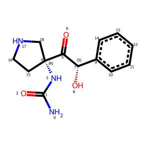 NC(=O)N[C@]1(C(=O)[C@@H](O)c2ccccc2)CCNC1